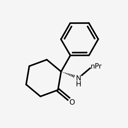 CCCN[C@@]1(c2ccccc2)CCCCC1=O